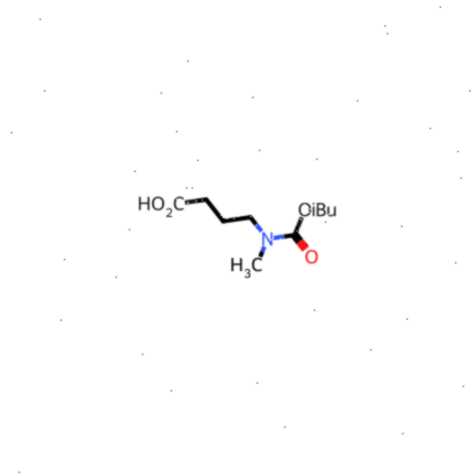 CC(C)COC(=O)N(C)CCCC(=O)O